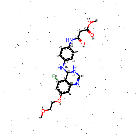 COCCOc1cc(F)c2c(c1)N=CNC2Nc1ccc(NC(=O)CC(=O)OC)cc1